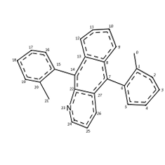 Cc1ccccc1-c1c2ccccc2c(-c2ccccc2C)c2ncccc12